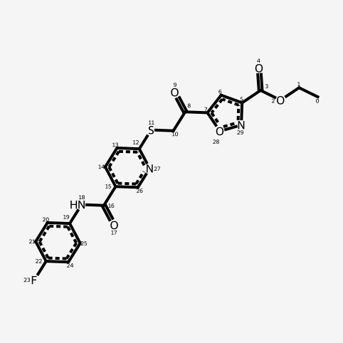 CCOC(=O)c1cc(C(=O)CSc2ccc(C(=O)Nc3ccc(F)cc3)cn2)on1